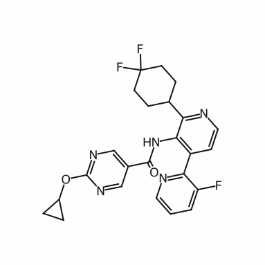 O=C(Nc1c(-c2ncccc2F)ccnc1C1CCC(F)(F)CC1)c1cnc(OC2CC2)nc1